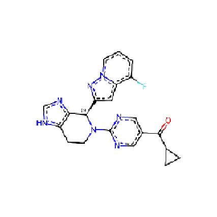 O=C(c1cnc(N2CCc3[nH]cnc3[C@H]2c2cc3c(F)cccn3n2)nc1)C1CC1